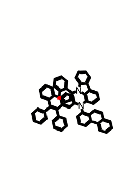 c1ccc(-c2c(-c3ccccc3)c3cc(N(c4cccc5c4ccc4ccccc45)c4cccc5c6ccccc6n(-c6cccc7ccccc67)c45)ccc3c3ccccc23)cc1